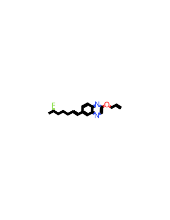 C=CCOc1cnc2cc(C=CCCCC(C)F)ccc2n1